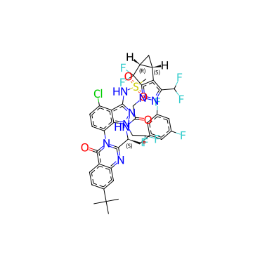 CC(C)(C)c1ccc2c(=O)n(-c3ccc(Cl)c4c(NS(C)(=O)=O)nn(CC(F)(F)F)c34)c([C@H](Cc3cc(F)cc(F)c3)NC(=O)Cn3nc(C(F)F)c4c3C(F)(F)[C@@H]3C[C@H]43)nc2c1